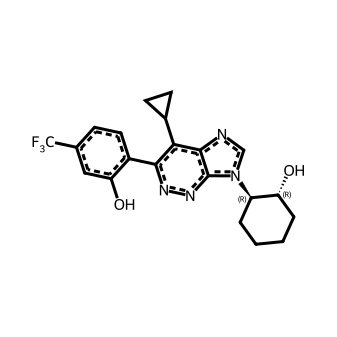 Oc1cc(C(F)(F)F)ccc1-c1nnc2c(ncn2[C@@H]2CCCC[C@H]2O)c1C1CC1